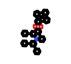 c1ccc(-c2cccc(N(c3cc(-c4ccccc4)cc(-c4ccccc4)c3)c3ccccc3-c3ccc4c(c3)Oc3c(ccc5c3-c3ccccc3C53c5ccccc5-c5ccccc53)O4)c2)cc1